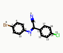 N#C/C(=N\c1ccc(Br)cc1)c1ccc(Cl)cc1